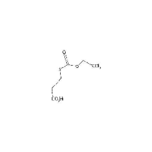 O=C(O)CCSC(=O)OCC(Cl)(Cl)Cl